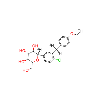 [2H]COc1ccc(C([2H])([2H])c2cc([C@]3([2H])O[C@H](CO)[C@@H](O)[C@H](O)[C@H]3O)ccc2Cl)cc1